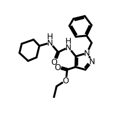 CCOC(=O)c1cnn(Cc2ccccc2)c1NC(=O)NC1CCCCC1